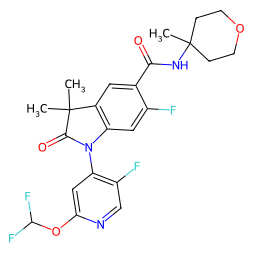 CC1(NC(=O)c2cc3c(cc2F)N(c2cc(OC(F)F)ncc2F)C(=O)C3(C)C)CCOCC1